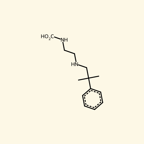 CC(C)(CNCCNC(=O)O)c1ccccc1